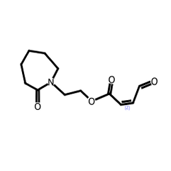 O=C/C=C\C(=O)OCCN1CCCCCC1=O